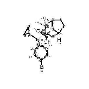 O=C(O)N1[C@H]2CC[C@@H]1[C@@H](F)[C@@H](N(c1cnc(Br)cn1)C1CC1)C2